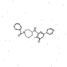 Cn1c(NC2CCCN(C(=O)c3ccccc3)CC2)nc(-c2ccncc2)cc1=O